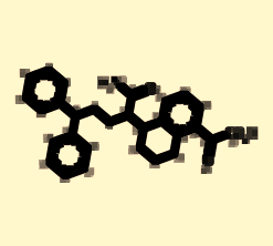 NC(=O)C(CCC(c1ccccc1)c1ccccc1)C1CCCc2c(C(=O)C(=O)O)cccc21